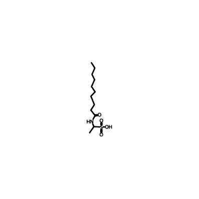 CCCCCCCCCC(=O)NC(C)S(=O)(=O)O